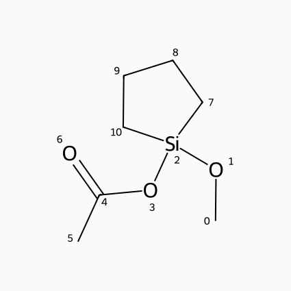 CO[Si]1(OC(C)=O)CCCC1